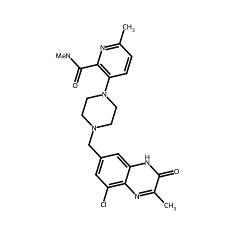 CNC(=O)c1nc(C)ccc1N1CCN(Cc2cc(Cl)c3nc(C)c(=O)[nH]c3c2)CC1